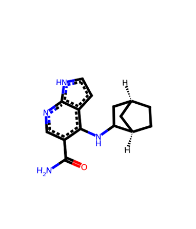 NC(=O)c1cnc2[nH]ccc2c1NC1C[C@H]2CC[C@@H]1C2